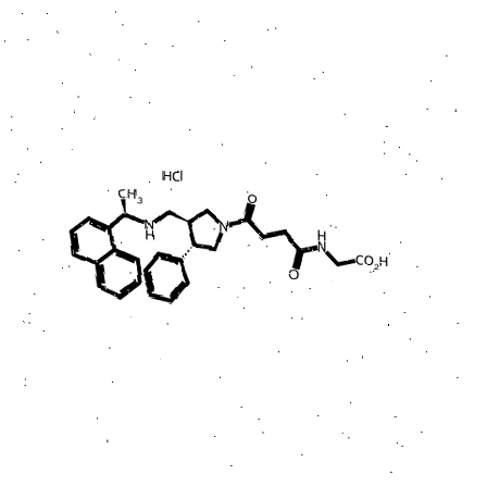 C[C@@H](NC[C@H]1CN(C(=O)CCC(=O)NCC(=O)O)C[C@@H]1c1ccccc1)c1cccc2ccccc12.Cl